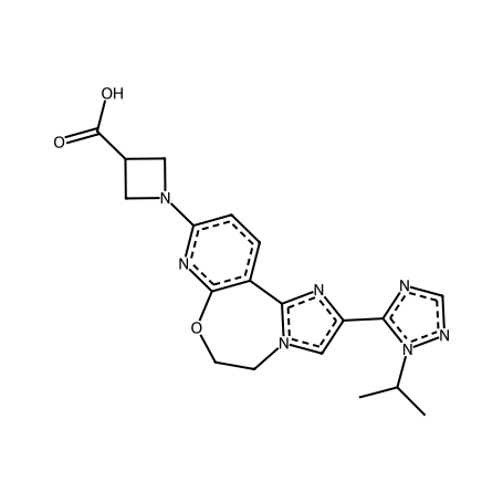 CC(C)n1ncnc1-c1cn2c(n1)-c1ccc(N3CC(C(=O)O)C3)nc1OCC2